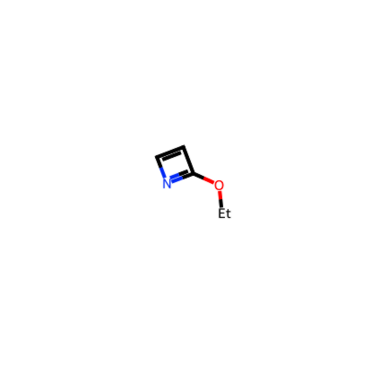 CCOC1=NC=C1